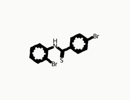 S=C(Nc1ccccc1Br)c1ccc(Br)cc1